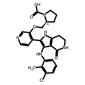 Cc1c(Cl)cccc1Nc1c(-c2ccncc2OC[C@@H]2CCCN2C(=O)O)[nH]c2c1C(=O)NCC2